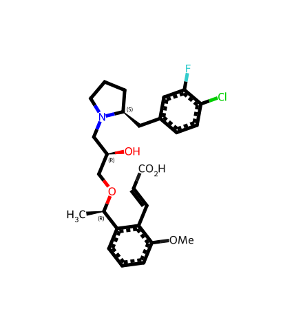 COc1cccc([C@@H](C)OC[C@H](O)CN2CCC[C@H]2Cc2ccc(Cl)c(F)c2)c1C=CC(=O)O